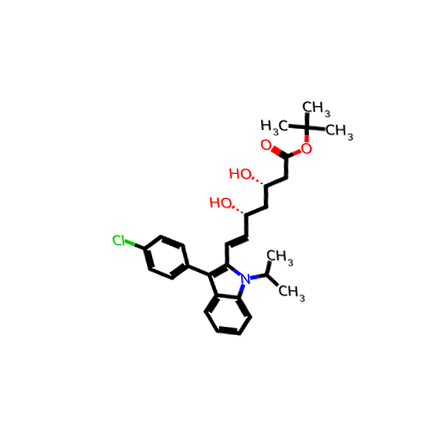 CC(C)n1c(/C=C/[C@H](O)C[C@H](O)CC(=O)OC(C)(C)C)c(-c2ccc(Cl)cc2)c2ccccc21